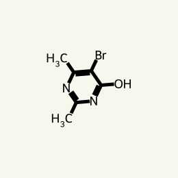 Cc1nc(C)c(Br)c(O)n1